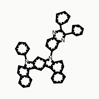 c1ccc(-c2nc3ccc(-n4c5cc6c(cc5c5c7ccccc7ccc54)c4c5ccccc5ccc4n6-c4ccccc4)cc3nc2-c2ccccc2)cc1